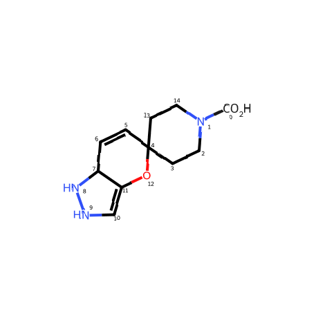 O=C(O)N1CCC2(C=CC3NNC=C3O2)CC1